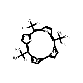 CC(C)(C)c1c2nc(c(C(C)(C)C)c3ccc([nH]3)c3ccc([nH]3)c(C(C)(C)C)c3ccc1[nH]3)C=C2